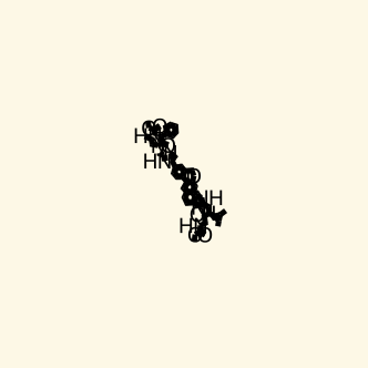 CCCN(Cc1ncc(-c2ccc3c(c2)COc2cc4c(ccc5nc(CN(C(=O)CNC(=O)OC)C6C(C)C6C)[nH]c54)cc2-3)[nH]1)C(=O)[C@H](NC(=O)OC)c1ccccc1